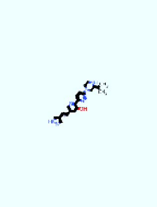 CC(C)C1CN(c2ccc(-c3ncc(/C=C/c4cn[nH]c4)cc3O)nn2)CCN1